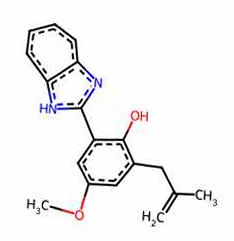 C=C(C)Cc1cc(OC)cc(-c2nc3ccccc3[nH]2)c1O